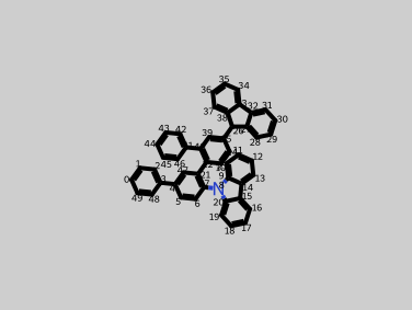 c1ccc(-c2ccc(-n3c4ccccc4c4ccccc43)c(-c3ccc(C4c5ccccc5-c5ccccc54)cc3-c3ccccc3)c2)cc1